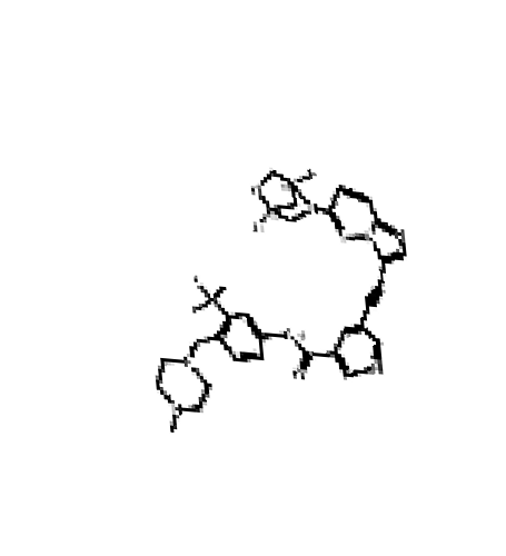 CN1CCN(Cc2ccc(NC(=O)c3cncc(C#Cc4cnc5ccc(N6C[C@H]7C[C@@H]6CO7)nn45)c3)cc2C(F)(F)F)CC1